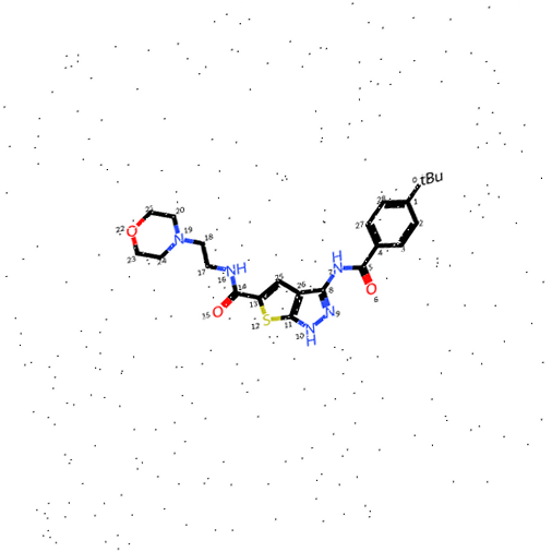 CC(C)(C)c1ccc(C(=O)Nc2n[nH]c3sc(C(=O)NCCN4CCOCC4)cc23)cc1